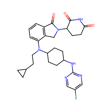 O=C1CCC(N2Cc3c(cccc3N(CCC3CC3)C3CCC(Nc4ncc(F)cn4)CC3)C2=O)C(=O)N1